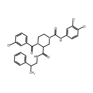 CC(CNC(=O)C1CN(C(=O)Nc2ccc(Cl)c(Cl)c2)CCN1C(=O)c1cccc(Cl)c1)c1ccccc1